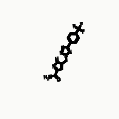 NC(=O)c1cc(Cn2nnc(-c3ccc(C(F)(F)F)cc3)n2)[nH]n1